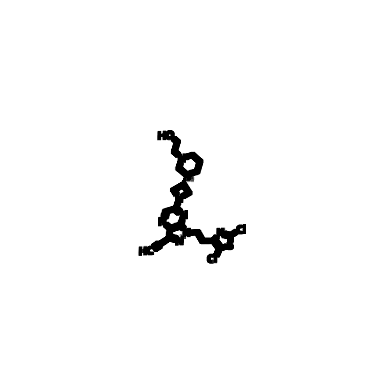 C#Cc1nn(CCc2nc(Cl)sc2Cl)c2nc(N3CC([C@H]4CCCN(CCO)C4)C3)cnc12